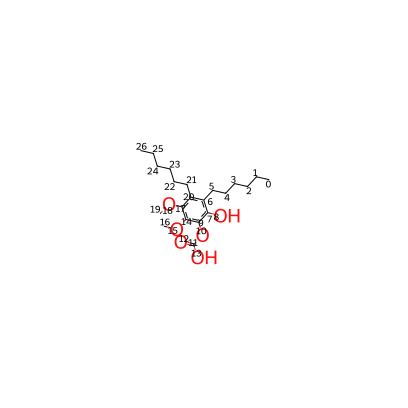 CCCCCCc1c(O)c(OC(=O)O)c(OC)c(OC)c1CCCCCC